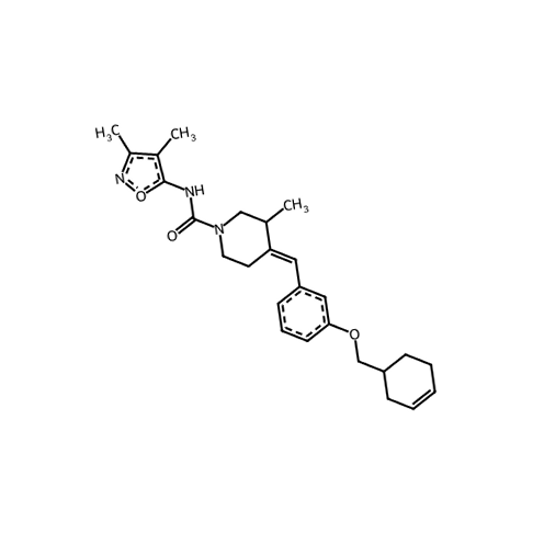 Cc1noc(NC(=O)N2CC/C(=C\c3cccc(OCC4CC=CCC4)c3)C(C)C2)c1C